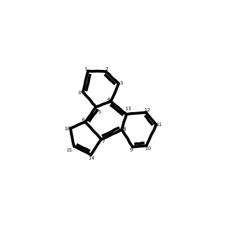 [c]1cccc2c1c1c(c3ccccc32)C=CC1